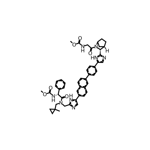 COC(=O)NCC(=O)N1C2CC[C@@H](C2)[C@H]1c1ncc(-c2ccc(-c3ccc4cc(-c5cnc(CN(CC6(C)CC6)C(=O)[C@H](NC(=O)OC)c6ccccc6)[nH]5)ccc4c3)cc2)[nH]1